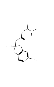 CCN(CC)C(C)NC(=O)CC1(C)Oc2ccc(C)cc2O1